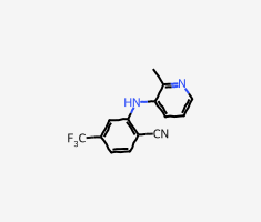 Cc1ncccc1Nc1cc(C(F)(F)F)ccc1C#N